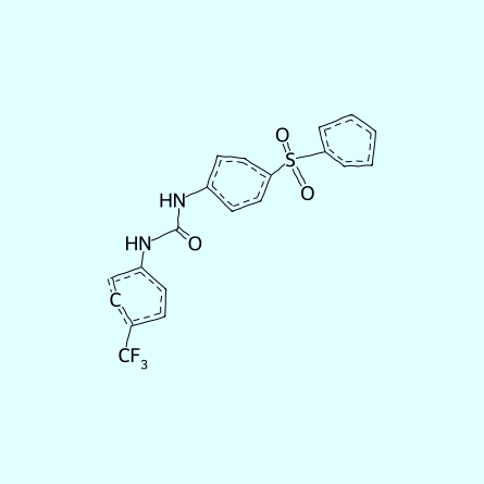 O=C(Nc1ccc(C(F)(F)F)cc1)Nc1ccc(S(=O)(=O)c2ccccc2)cc1